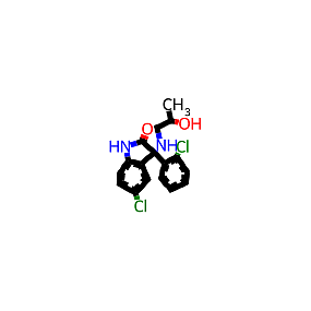 CC(O)CNC1(c2ccccc2Cl)C(=O)Nc2ccc(Cl)cc21